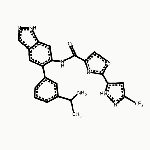 CC(N)c1cccc(-c2cc3cn[nH]c3cc2NC(=O)c2csc(-c3cc(C(F)(F)F)n[nH]3)n2)c1